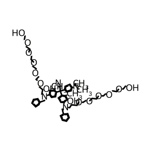 Cc1cc(N(Cc2ccccc2)CC(O)COCCOCCOCCOCCOCCO)ccc1C(C#N)(c1ccc(N(C)C)cc1)c1ccc(N(Cc2ccccc2)CC(O)COCCOCCOCCOCCOCCO)cc1C